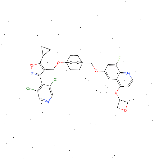 Fc1cc(OCC23CCC(OCc4c(-c5c(Cl)cncc5Cl)noc4C4CC4)(CC2)CC3)cc2c(OC3COC3)ccnc12